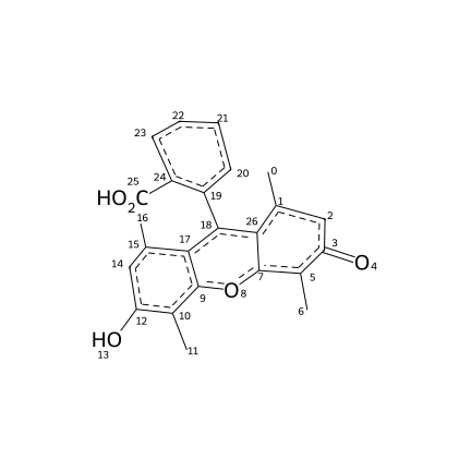 Cc1cc(=O)c(C)c2oc3c(C)c(O)cc(C)c3c(-c3ccccc3C(=O)O)c1-2